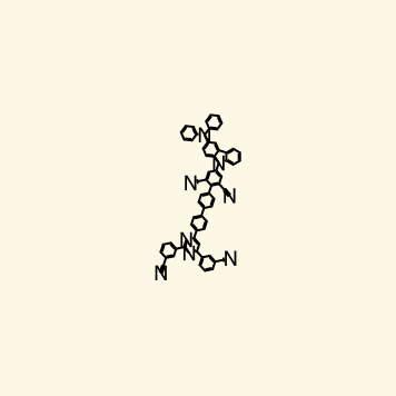 N#Cc1cccc(-c2cc(-c3ccc(-c4ccc(-c5c(C#N)cc(-n6c7ccccc7c7cc(N(c8ccccc8)c8ccccc8)ccc76)cc5C#N)cc4)cc3)nc(-c3cccc(C#N)c3)n2)c1